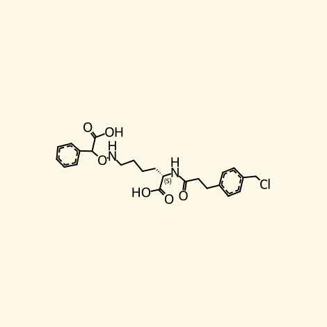 O=C(CCc1ccc(CCl)cc1)N[C@@H](CCCCNOC(C(=O)O)c1ccccc1)C(=O)O